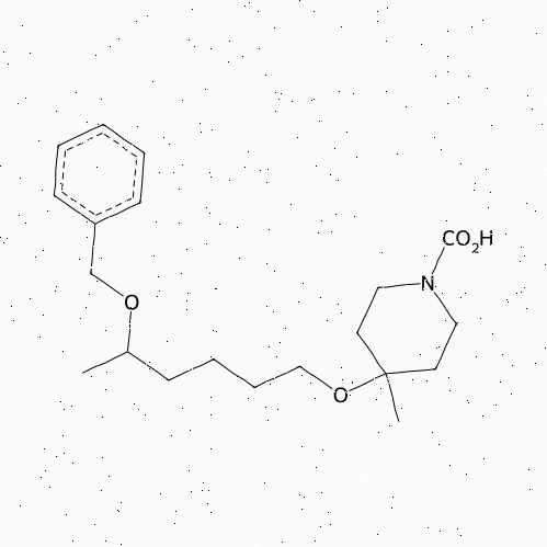 CC(CCCCOC1(C)CCN(C(=O)O)CC1)OCc1ccccc1